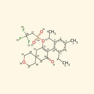 CCc1cc(C)cc(CC)c1C1=C(OS(=O)(=O)CC(F)(F)F)CC2(CCOCC2)CC1=O